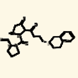 O=C[C@@H]1CCCN1C(=O)[C@H]1NCC(=S)C1C(=O)CCC[C@H]1CCc2ccccc2C1